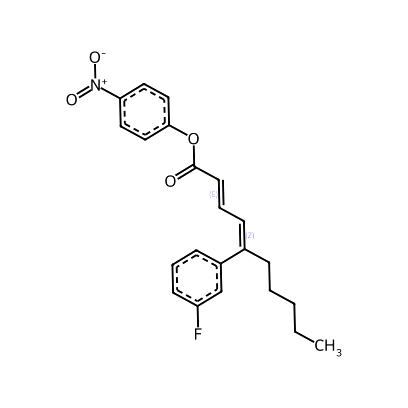 CCCCC/C(=C/C=C/C(=O)Oc1ccc([N+](=O)[O-])cc1)c1cccc(F)c1